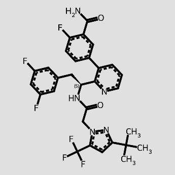 CC(C)(C)c1cc(C(F)(F)F)n(CC(=O)N[C@@H](Cc2cc(F)cc(F)c2)c2ncccc2-c2ccc(F)c(C(N)=O)c2)n1